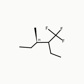 CCC([C@H](C)CC)C(F)(F)F